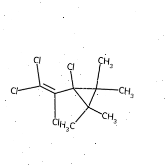 CC1(C)C(C)(C)C1(Cl)C(Cl)=C(Cl)Cl